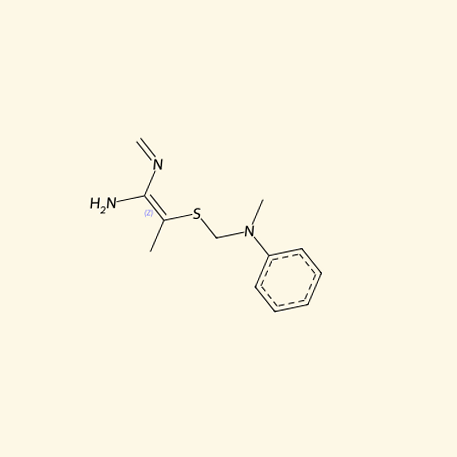 C=N/C(N)=C(/C)SCN(C)c1ccccc1